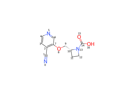 N#Cc1ccncc1OC[C@H]1CCN1C(=O)O